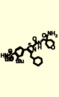 CC(C)(C)NS(=O)(=O)c1ccc(-c2sc(C(=O)NCC3(C(N)=O)CCOCC3)nc2CC2CCCCC2)cc1C(C)(C)C